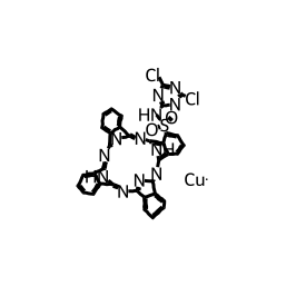 O=S(=O)(Nc1nc(Cl)nc(Cl)n1)c1cccc2c3nc4nc(nc5[nH]c(nc6nc(nc([nH]3)c12)-c1ccccc1-6)c1ccccc51)-c1ccccc1-4.[Cu]